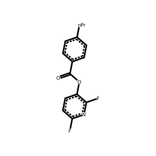 CCCc1ccc(C(=O)Oc2ccc(F)nc2F)cc1